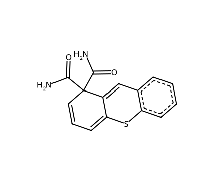 NC(=O)C1(C(N)=O)C=CC=C2Sc3ccccc3C=C21